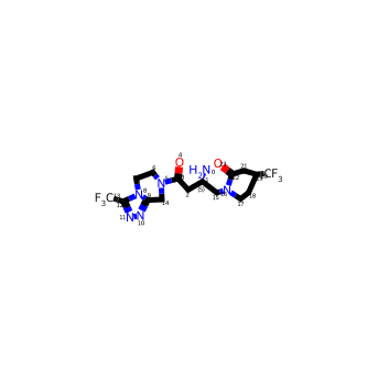 N[C@@H](CC(=O)N1CCn2c(nnc2C(F)(F)F)C1)CN1CCC(C(F)(F)F)CC1=O